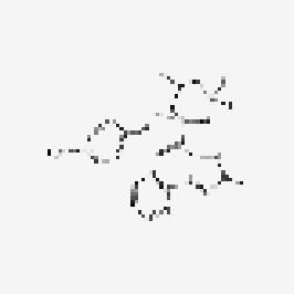 CC1CC(F)(F)CN(C(=O)c2nn(C)cc2-c2ncccn2)[C@@H]1COc1ccc(C(F)(F)F)cn1